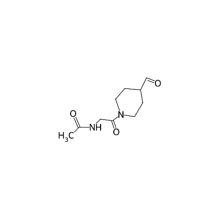 CC(=O)NCC(=O)N1CCC(C=O)CC1